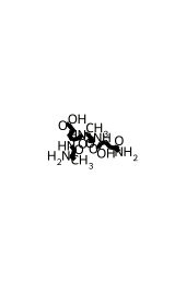 CC(N)C(=O)NC(CCC(=O)O)C(=O)NC(C)C(=O)NC(CCC(N)=O)C(=O)O